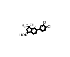 CC1(C)CC(=NO)c2ccc(-c3ccc(Cl)c(Cl)c3)cc21